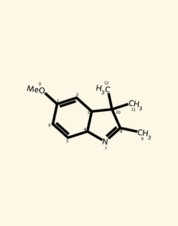 COC1=CC2C(C=C1)N=C(C)C2(C)C